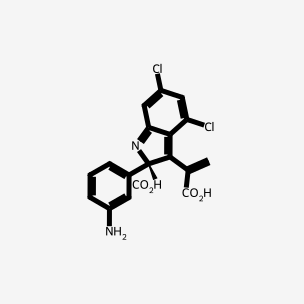 C=C(C(=O)O)C1=c2c(Cl)cc(Cl)cc2=N[C@@]1(C(=O)O)c1cccc(N)c1